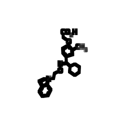 Cc1cc(C(=NOCCn2ccc3ccccc32)C2CCCCC2)ccc1OCC(=O)O